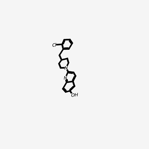 Oc1ccc2nc(N3CCC(Cc4ccccc4Cl)CC3)ccc2c1